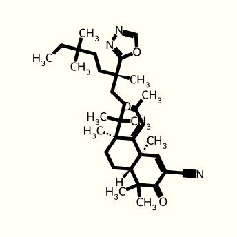 CCC(C)(C)CC[C@@](C)(CCC(C)(C)[C@]1(C)CC[C@H]2C(C)(C)C(=O)C(C#N)=C[C@]2(C)/C1=C/C(C)=O)c1nnco1